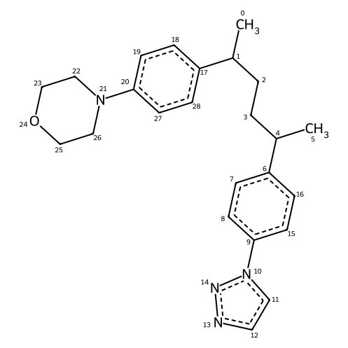 CC(CCC(C)c1ccc(-n2ccnn2)cc1)c1ccc(N2CCOCC2)cc1